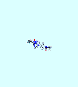 Cc1cc(-c2cnc3c(NCC(O)C(F)(F)F)nccn23)ccc1C(=O)NC1CC1